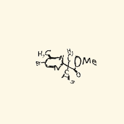 COC(=O)C(C)(C)c1ncc(Br)c(C)n1